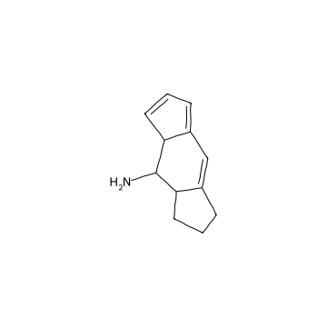 NC1C2C=CC=C2C=C2CCCC21